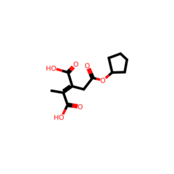 C/C(C(=O)O)=C(/CC(=O)OC1CCCC1)C(=O)O